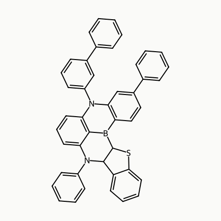 c1ccc(-c2cccc(N3c4cc(-c5ccccc5)ccc4B4c5c3cccc5N(c3ccccc3)C3c5ccccc5SC43)c2)cc1